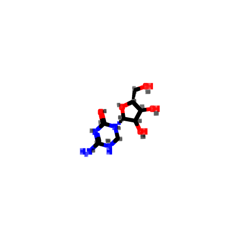 NC1=NC(=O)N([C@@H]2O[C@H](CO)C(O)C2O)CN1